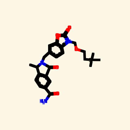 CC1c2ccc(C(N)=O)cc2C(=O)N1Cc1ccc2c(c1)oc(=O)n2COCC[Si](C)(C)C